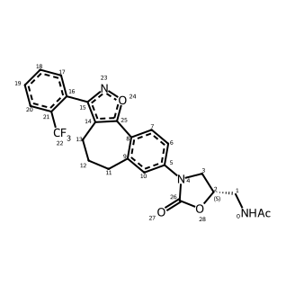 CC(=O)NC[C@H]1CN(c2ccc3c(c2)CCCc2c(-c4ccccc4C(F)(F)F)noc2-3)C(=O)O1